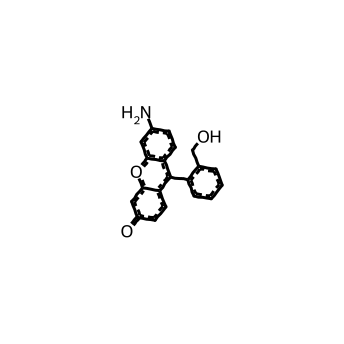 Nc1ccc2c(-c3ccccc3CO)c3ccc(=O)cc-3oc2c1